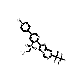 CCS(=O)(=O)c1cc(-c2ccc(Cl)cc2)cnc1-c1cn2cnc(C(F)(F)C(F)(F)F)cc2n1